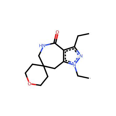 [CH2]Cn1nc(CC)c2c1CC1(CCOCC1)CNC2=O